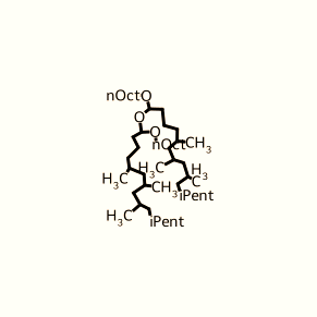 CCCCCCCCOC(CCCC(C)CC(C)CC(C)CC(C)CCC)OC(CCCC(C)CC(C)CC(C)CC(C)CCC)OCCCCCCCC